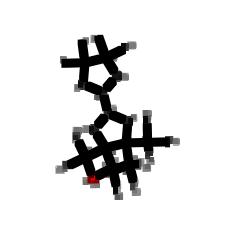 CC1(C)OB(B2OC(C(F)(F)F)(C(F)(F)F)C(C(F)(F)F)(C(F)(F)F)O2)OC1(C)F